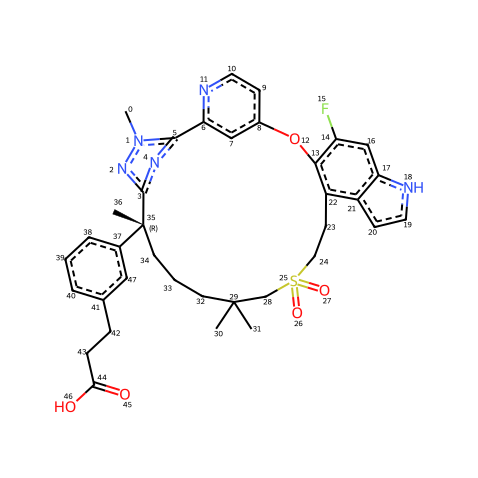 Cn1nc2nc1-c1cc(ccn1)Oc1c(F)cc3[nH]ccc3c1CCS(=O)(=O)CC(C)(C)CCC[C@]2(C)c1cccc(CCC(=O)O)c1